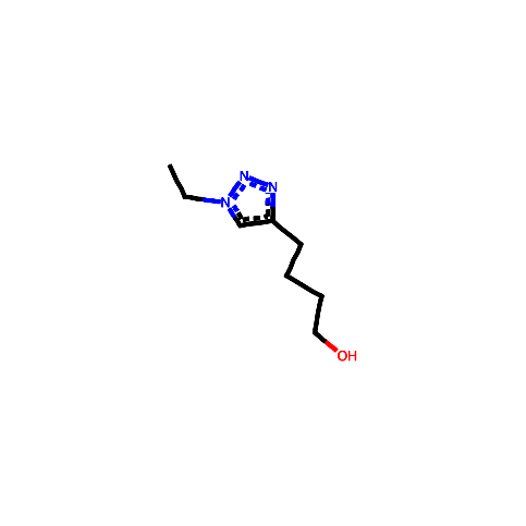 CCn1cc(CCCCO)nn1